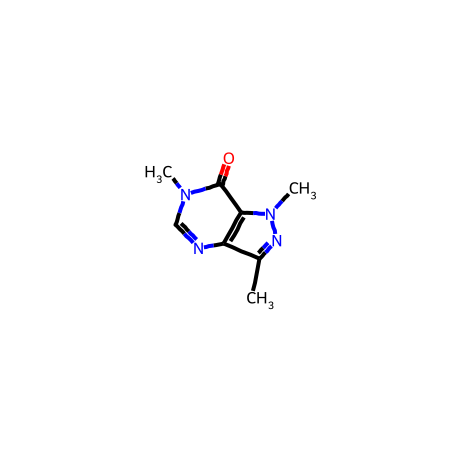 Cc1nn(C)c2c(=O)n(C)cnc12